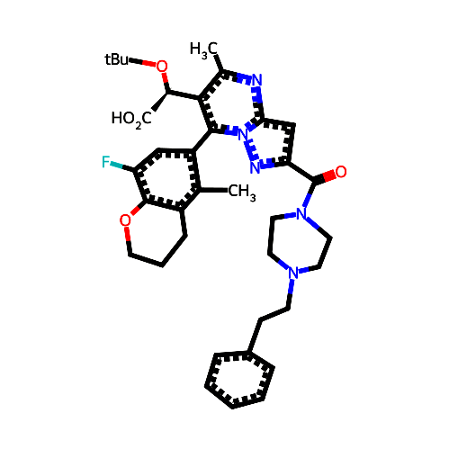 Cc1nc2cc(C(=O)N3CCN(CCc4ccccc4)CC3)nn2c(-c2cc(F)c3c(c2C)CCCO3)c1[C@H](OC(C)(C)C)C(=O)O